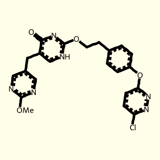 COc1ncc(Cc2c[nH]c(OCCc3ccc(Oc4ccc(Cl)nn4)cc3)nc2=O)cn1